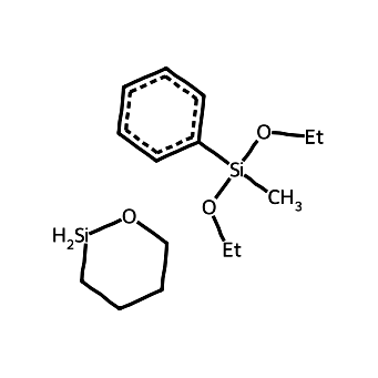 C1CC[SiH2]OC1.CCO[Si](C)(OCC)c1ccccc1